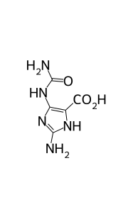 NC(=O)Nc1nc(N)[nH]c1C(=O)O